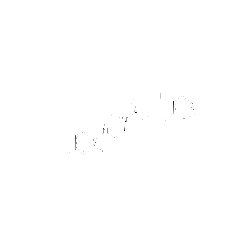 O=C(COCc1ccccc1F)N1CCN(c2ccc(Cl)cc2Cl)CC1